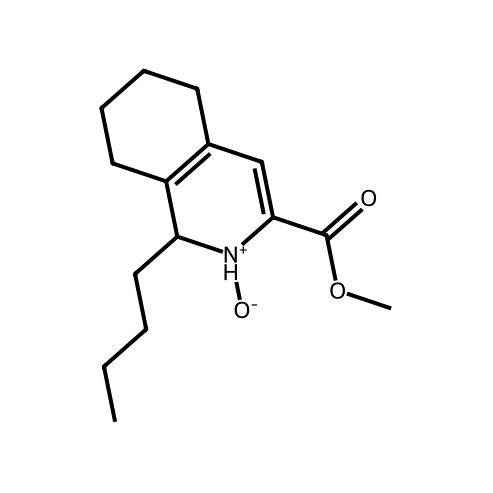 CCCCC1C2=C(C=C(C(=O)OC)[NH+]1[O-])CCCC2